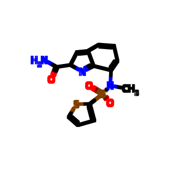 CN(c1cccc2c1=NC(C(N)=O)C=2)S(=O)(=O)c1cccs1